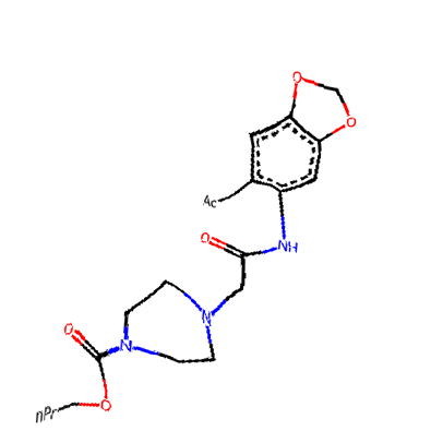 CCCOC(=O)N1CCN(CC(=O)Nc2cc3c(cc2C(C)=O)OCO3)CC1